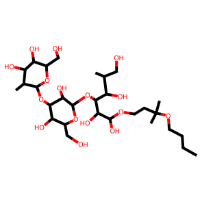 CCCCOC(C)(C)CCOC(O)C(O)C(OC1OC(CO)C(O)C(OC2OC(CO)C(O)C(O)C2C)C1O)C(O)C(C)CO